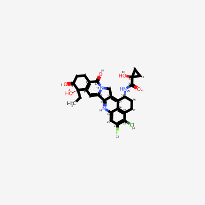 CC[C@@]1(O)C(=O)CCc2c1cc1n(c2=O)Cc2c-1nc1cc(F)c(Cl)c3c1c2[C@@H](NC(=O)C1(O)CC1)CC3